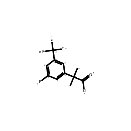 CC(C)(C(=O)Cl)c1cc(F)cc(C(F)(F)F)c1